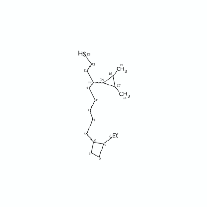 CCC1CCC1CCCCCC(CCS)C1C(C)C1C